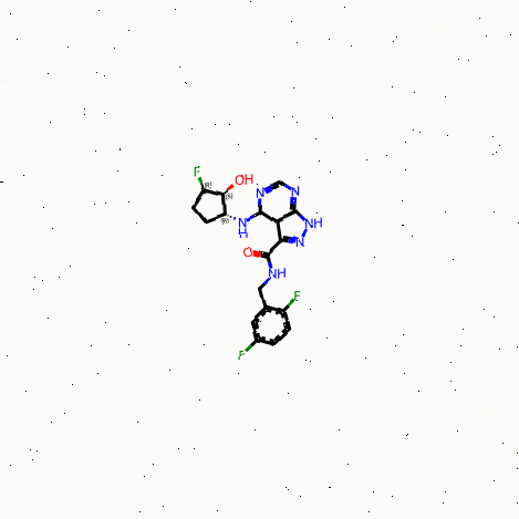 O=C(NCc1cc(F)ccc1F)C1=NNC2=NC=NC(N[C@@H]3CC[C@@H](F)[C@H]3O)C21